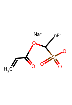 C=CC(=O)OC(CCC)S(=O)(=O)[O-].[Na+]